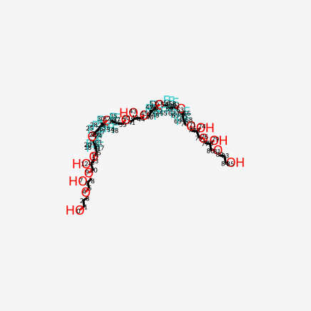 OCCCOCC(O)COCC(O)COCC(F)(F)C(F)(F)OC(F)(F)C(F)(F)C(F)(F)OC(F)(F)C(F)(F)COCC(O)COCC(F)(F)C(F)(F)OC(F)(F)C(F)(F)C(F)(F)OC(F)(F)C(F)(F)COCC(O)COCC(O)COCCCO